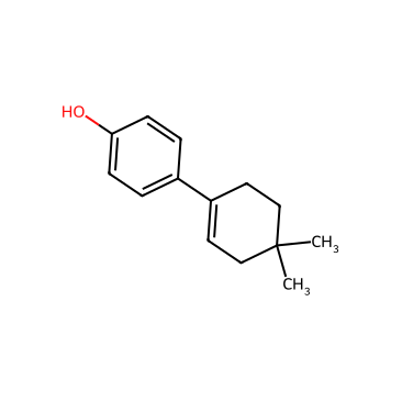 CC1(C)CC=C(c2ccc(O)cc2)CC1